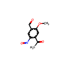 COc1cc(C(C)=O)c(N=O)cc1C=O